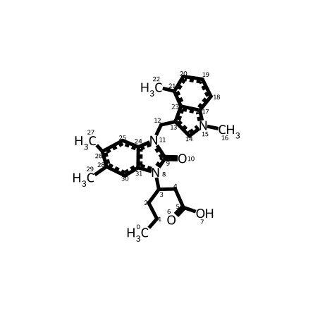 CCCC(CC(=O)O)n1c(=O)n(Cc2cn(C)c3cccc(C)c23)c2cc(C)c(C)cc21